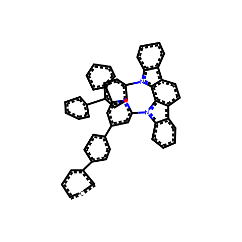 c1ccc(-c2ccc(-c3cc(-c4ccccc4)nc(-n4c5ccccc5c5ccc6c7ccccc7n(-c7ccc(-c8ccccc8)cc7)c6c54)c3)cc2)cc1